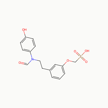 O=CN(CCc1cccc(OCS(=O)(=O)O)c1)c1ccc(O)cc1